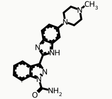 CN1CCN(c2ccc3nc(-c4nn(C(N)=O)c5[c]cccc45)[nH]c3c2)CC1